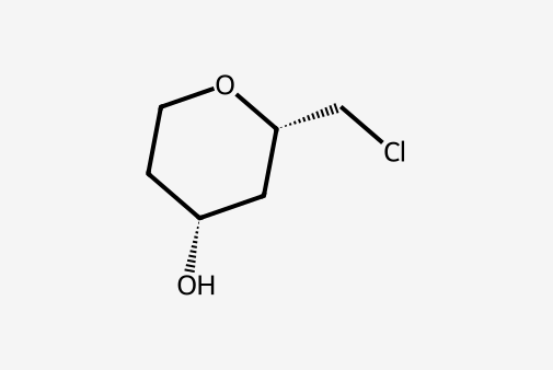 O[C@@H]1CCO[C@H](CCl)C1